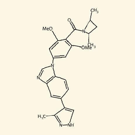 COc1cc(-n2cnc3cc(-c4c[nH]nc4C)ccc32)cc(OC)c1C(=O)N1C(C)CC1C